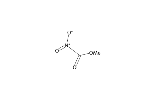 COC(=O)[N+](=O)[O-]